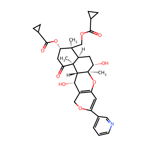 C[C@@]1(COC(=O)C2CC2)[C@@H](OC(=O)C2CC2)CC(=O)[C@@]2(C)[C@@H]1C[C@H](O)[C@@]1(C)OC3=C(COC(c4cccnc4)=C3)[C@H](O)[C@@H]12